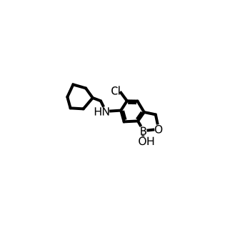 OB1OCc2cc(Cl)c(NCC3CCCCC3)cc21